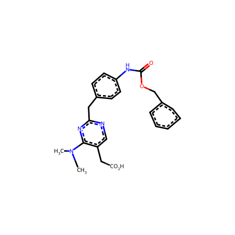 CN(C)c1nc(Cc2ccc(NC(=O)OCc3ccccc3)cc2)ncc1CC(=O)O